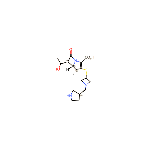 CC(O)[C@H]1C(=O)N2C(C(=O)O)=C(SC3CN(C[C@H]4CCNC4)C3)[C@H](C)[C@H]12